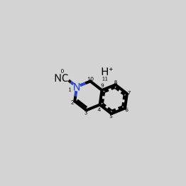 N#CN1C=Cc2ccccc2C1.[H+]